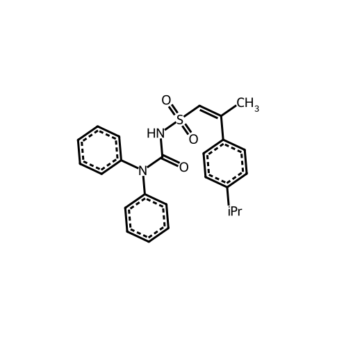 CC(=CS(=O)(=O)NC(=O)N(c1ccccc1)c1ccccc1)c1ccc(C(C)C)cc1